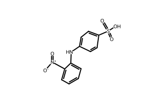 O=[N+]([O-])c1ccccc1Nc1ccc(S(=O)(=O)O)cc1